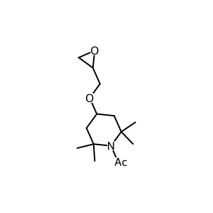 CC(=O)N1C(C)(C)CC(OCC2CO2)CC1(C)C